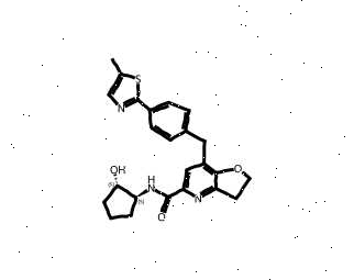 Cc1cnc(-c2ccc(Cc3cc(C(=O)N[C@H]4CCC[C@@H]4O)nc4c3OCC4)cc2)s1